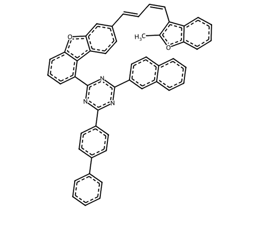 Cc1oc2ccccc2c1/C=C\C=C\c1ccc2c(c1)oc1cccc(-c3nc(-c4ccc(-c5ccccc5)cc4)nc(-c4ccc5ccccc5c4)n3)c12